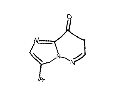 CC(C)c1cnc2n1N=CCC2=O